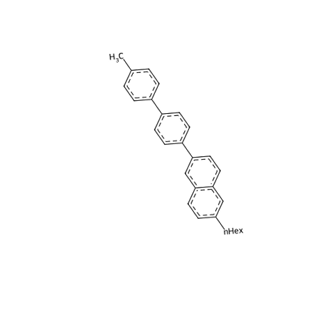 CCCCCCc1ccc2cc(-c3ccc(-c4ccc(C)cc4)cc3)ccc2c1